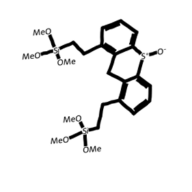 CO[Si](CCc1cccc2c1Cc1c(CC[Si](OC)(OC)OC)cccc1[S+]2[O-])(OC)OC